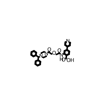 O=C(COCC(=O)N1CCN(C(c2ccccc2)c2ccccc2)CC1)Nc1cc(-c2ccncc2)ccc1C(=O)O